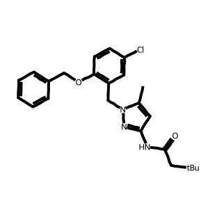 Cc1cc(NC(=O)CC(C)(C)C)nn1Cc1cc(Cl)ccc1OCc1ccccc1